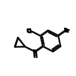 Clc1cc(Br)ccc1NC1CC1